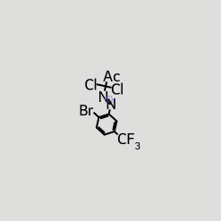 CC(=O)C(Cl)(Cl)/N=N/c1cc(C(F)(F)F)ccc1Br